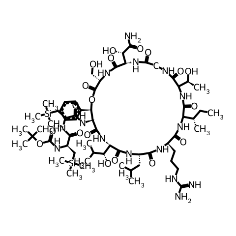 CC[C@H](C)C1NC(=O)[C@@H](CCCNC(=N)N)NC(=O)[C@H](CC(C)C)NC(=O)[C@H]([C@H](O)C(C)C)NC(=O)[C@@H](NC(=O)[C@H](C[Si](C)(C)C)NC(=O)[C@@H](C[Si](C)(C)C)NC(=O)OC(C)(C)C)[C@@H](c2ccccc2)OC(=O)[C@H](CO)NC(=O)[C@H]([C@H](O)C(N)=O)NC(=O)CNC(=O)C([C@H](C)O)NC1=O